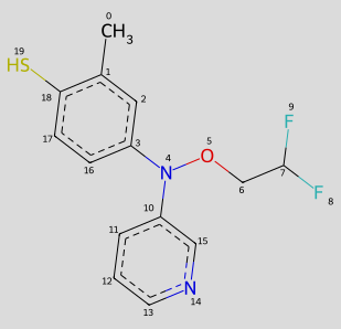 Cc1cc(N(OCC(F)F)c2cccnc2)ccc1S